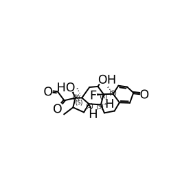 CC1C[C@H]2[C@@H]3CCC4=CC(=O)C=C[C@]4(C)[C@@]3(F)C(O)C[C@]2(C)[C@@]1(O)C(=O)C=O